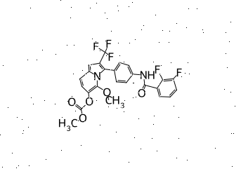 COC(=O)Oc1ccc2cc(C(F)(F)F)c(-c3ccc(NC(=O)c4cccc(F)c4F)cc3)n2c1OC